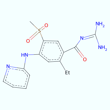 CCc1cc(Nc2ccccn2)c(S(C)(=O)=O)cc1C(=O)N=C(N)N